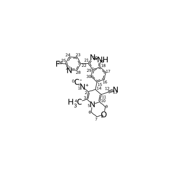 [C-]#[N+]C1=C(C)N2CCOCC2=C(C#N)C1c1ccc2[nH]nc(-c3ccc(F)nc3)c2c1